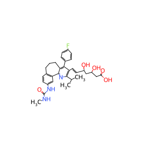 CNC(=O)Nc1ccc2c(c1)-c1nc(C(C)C)c(/C=C/[C@@H](O)C[C@@H](O)CC(=O)O)c(-c3ccc(F)cc3)c1CCC2